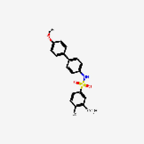 CCCOc1ccc(-c2ccc(NS(=O)(=O)c3ccc(CC)c(C(=O)O)c3)cc2)cc1